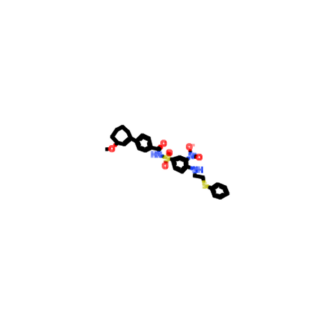 COC1C=C(c2ccc(C(=O)NS(=O)(=O)c3ccc(NCCSc4ccccc4)c([N+](=O)[O-])c3)cc2)CCCC1